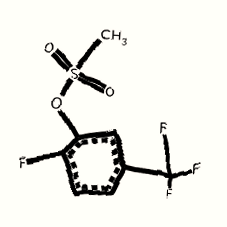 CS(=O)(=O)Oc1cc(C(F)(F)F)ccc1F